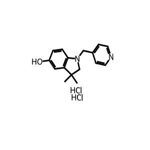 CC1(C)CN(Cc2ccncc2)c2ccc(O)cc21.Cl.Cl